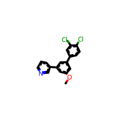 COc1cc(-c2cccnc2)cc(-c2ccc(Cl)c(Cl)c2)c1